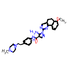 COc1cccc2c1CCc1cnc(-n3ncc(C(=O)Nc4ccc(CCN5CCN(C)CC5)cc4)c3N)nc1-2